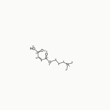 CN(C)CCCOC(=O)/C=C\C(=O)O